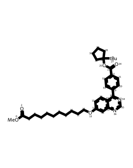 COC(=O)CCCCCCCCCCOc1ccc2c(-c3ccc(C(=O)OC4(C(C)(C)C)CCCC4)cc3)ncnc2c1